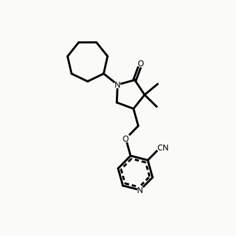 CC1(C)C(=O)N(C2CCCCCC2)CC1COc1ccncc1C#N